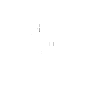 C[C@@H]1C[C@@H](NC(=O)c2ccccc2)CN1